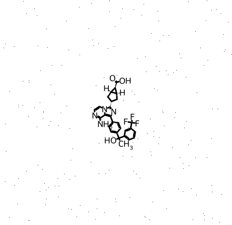 CC(O)(c1ccc(-c2nc([C@@H]3C[C@@H]4[C@H](C3)[C@@H]4C(=O)O)n3ccnc(N)c23)cc1)c1cccc(C(F)(F)F)c1